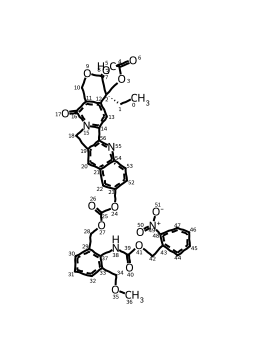 CC[C@@]1(OC(C)=O)C(=O)OCc2c1cc1n(c2=O)Cc2cc3cc(OC(=O)OCc4cccc(COC)c4NC(=O)OCc4ccccc4[N+](=O)[O-])ccc3nc2-1